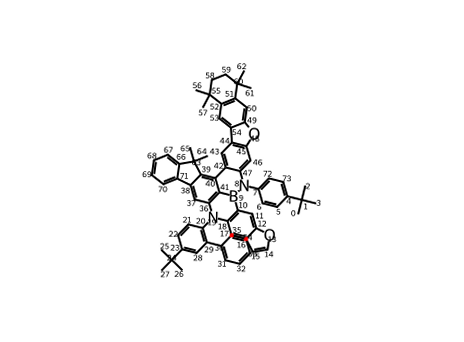 CC(C)(C)c1ccc(N2B3c4cc5occc5cc4N(c4ccc(C(C)(C)C)cc4-c4ccccc4)c4cc5c(c(c43)-c3cc4c(cc32)oc2cc3c(cc24)C(C)(C)CCC3(C)C)C(C)(C)c2ccccc2-5)cc1